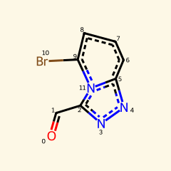 O=Cc1nnc2cccc(Br)n12